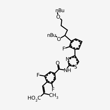 CCCCOCCCC(OCCCC)c1cccc(-c2csc(NC(=O)c3cc(F)c(C=C(C)C(=O)O)c(F)c3)n2)c1F